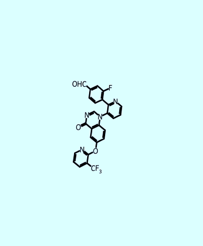 O=Cc1ccc(-c2ncccc2-n2cnc(=O)c3cc(Oc4ncccc4C(F)(F)F)ccc32)c(F)c1